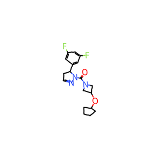 O=C(N1CC(OC2CCCC2)C1)N1N=CCC1c1cc(F)cc(F)c1